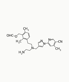 Cc1cc(-n2cc(CN(CCN)CCc3ccc(C)c(COC=O)c3C)cn2)ncc1C#N